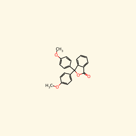 COc1ccc(C2(c3ccc(OC)cc3)OC(=O)c3ccccc32)cc1